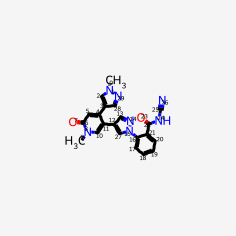 Cn1cc(-c2cc(=O)n(C)cc2-c2cnn(-c3ccccc3C(=O)NC#N)c2)cn1